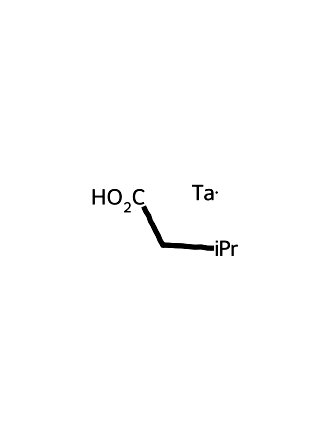 CC(C)CC(=O)O.[Ta]